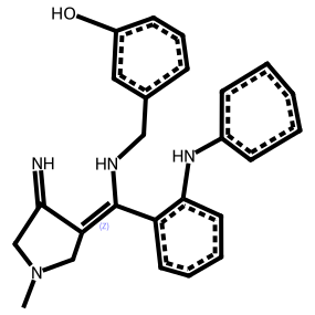 CN1CC(=N)/C(=C(\NCc2cccc(O)c2)c2ccccc2Nc2ccccc2)C1